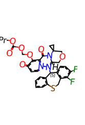 CCCOC(=O)OCOc1c2n(ccc1=O)N([C@@H]1c3ccccc3SCc3c1ccc(F)c3F)[C@@H]1COCC3(CC3)N1C2=O